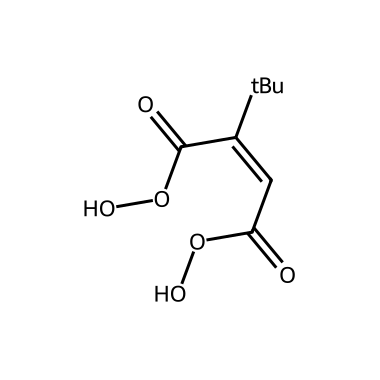 CC(C)(C)/C(=C/C(=O)OO)C(=O)OO